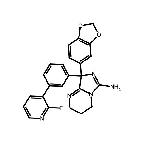 NC1=NC(c2cccc(-c3cccnc3F)c2)(c2ccc3c(c2)OCO3)C2=NCCCN12